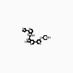 c1cc2[nH]c(-c3n[nH]c4ncc(-c5cncc(OC6CCNCC6)c5)cc34)nc2c(-c2ccsc2)n1